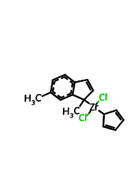 Cc1ccc2c(c1)[C](C)([Zr]([Cl])([Cl])[CH]1C=CC=C1)C=C2